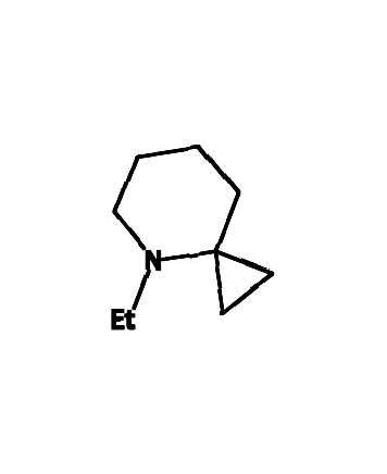 CCN1CCCCC12CC2